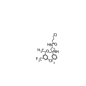 C[C@@H](OC[C@@]1(c2ccccc2)C[C@H](NC(=O)CCCCl)CN1)c1cc(C(F)(F)F)cc(C(F)(F)F)c1